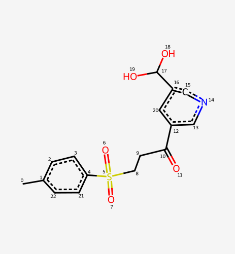 Cc1ccc(S(=O)(=O)CCC(=O)c2cncc(C(O)O)c2)cc1